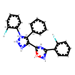 Fc1ccccc1-c1noc(-c2nnn(-c3ccccc3F)c2-c2ccccc2)n1